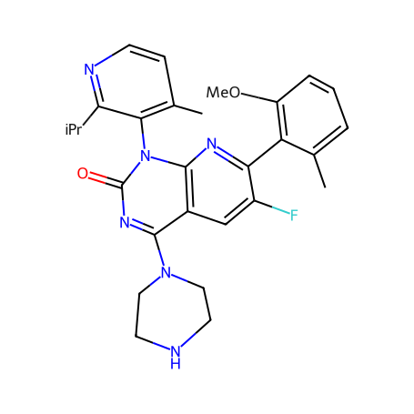 COc1cccc(C)c1-c1nc2c(cc1F)c(N1CCNCC1)nc(=O)n2-c1c(C)ccnc1C(C)C